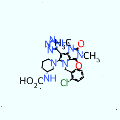 Cn1c(=O)c2c(c(-c3nnn[nH]3)c(N3CCC[C@@H](NC(=O)O)C3)n2Cc2ccccc2Cl)n(C)c1=O